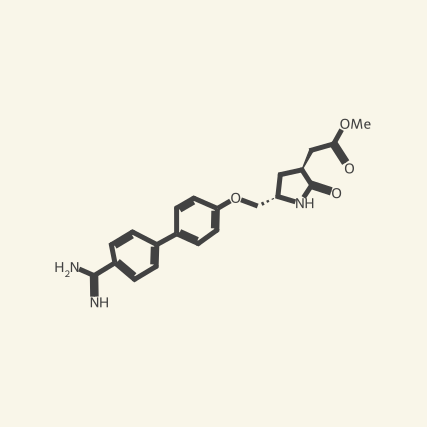 COC(=O)C[C@@H]1C[C@@H](COc2ccc(-c3ccc(C(=N)N)cc3)cc2)NC1=O